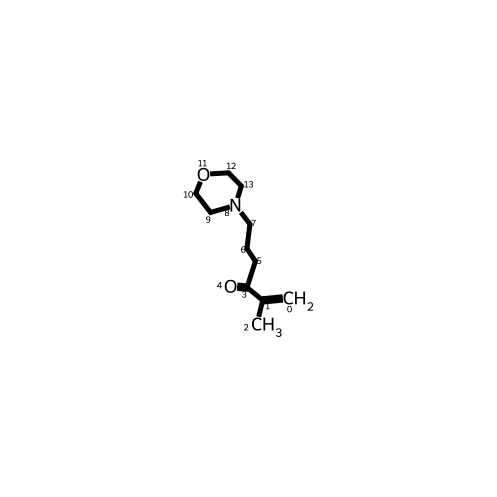 C=C(C)C(=O)CCCN1CCOCC1